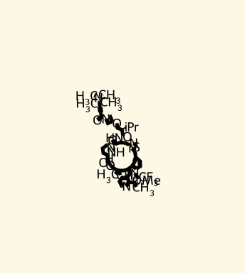 CO[C@@H](C)c1ncccc1-c1c2c3cc(ccc3n1CC(F)(F)F)-c1nc(ns1)C[C@H](NC(=O)[C@@H](COC1CN(C(=O)C#CC(C)(C)N(C)C)C1)C(C)C)C(=O)N1CCC[C@H](N1)C(=O)OCC(C)(C)C2